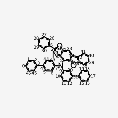 c1ccc(-c2ccc(N(c3cccc(-c4ccccc4)c3)c3c4nc(-c5ccccc5)oc4cc4c3oc3ccccc34)cc2)cc1